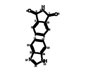 O=C1NC(=O)c2ccccc21.c1ccc2[nH]cnc2c1